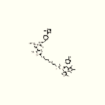 Cc1ncsc1-c1ccc(CNC(=O)[C@@H]2C[C@@H](O)CN2C(=O)C(NC(=O)COCCCOCCNC(=O)CC2N=C(c3ccc(Cl)cc3)c3c(sc(C)c3C)-n3c(C)nnc32)C(C)(C)C)cc1